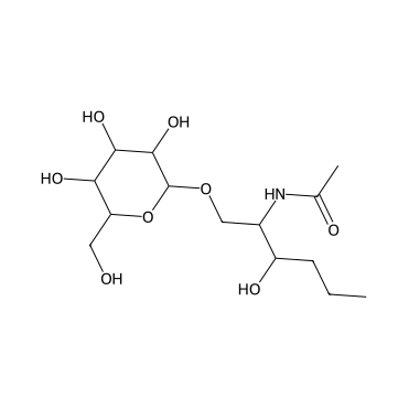 CCCC(O)C(COC1OC(CO)C(O)C(O)C1O)NC(C)=O